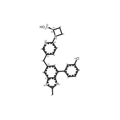 Cc1nc2c(-c3cccc(Cl)c3)cc(Cc3ccc(N4CC[C@@H]4C(=O)O)nc3)cc2s1